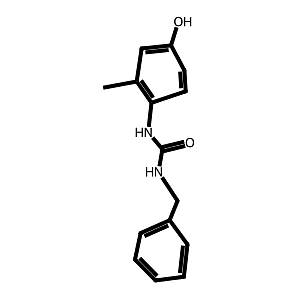 Cc1cc(O)ccc1NC(=O)NCc1ccccc1